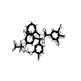 CC(C)Oc1cc([C@@](Cc2ccccc2)(NC(=O)c2cc(F)c(F)c(F)c2)c2cc(F)cc(OC(F)(F)C(F)F)c2)ccc1F